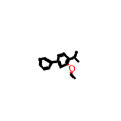 CCOc1cc(-c2ccccc2)ccc1C(C)C